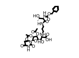 CC(=O)O[C@@H]1[C@H](OC(C)=O)[C@@H](C(O)C(NCCCNC(=O)[C@@H](NC(=O)OCc2ccccc2)[C@H](C)O)C(=O)O)O[C@H]1n1ccc(=O)[nH]c1=O